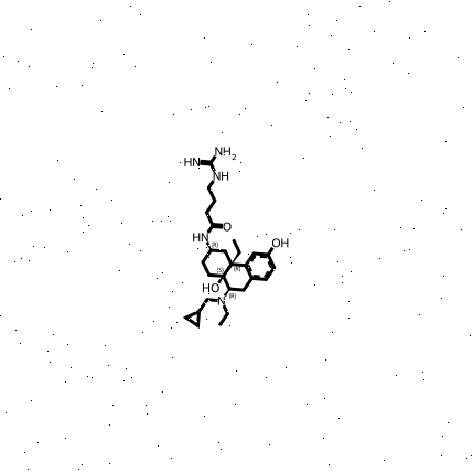 CCN(CC1CC1)[C@@H]1Cc2ccc(O)cc2[C@@]2(CC)C[C@H](NC(=O)CCCNC(=N)N)CC[C@@]12O